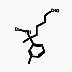 CCNC(C)(CCCCC=O)c1cccc(C)c1